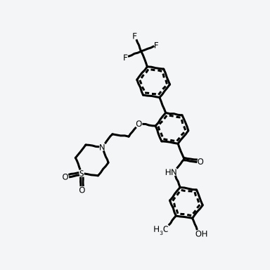 Cc1cc(NC(=O)c2ccc(-c3ccc(C(F)(F)F)cc3)c(OCCN3CCS(=O)(=O)CC3)c2)ccc1O